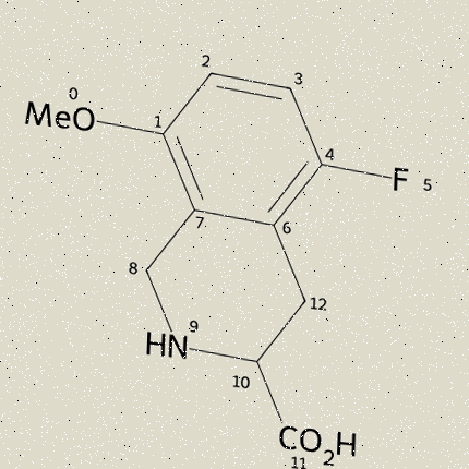 COc1ccc(F)c2c1CNC(C(=O)O)C2